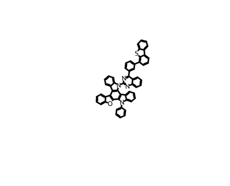 c1ccc(-n2c3ccccc3c3c2c2oc4ccccc4c2c2c4ccccc4n(-c4nc(-c5cccc(-c6cccc7c6sc6ccccc67)c5)c5ccccc5n4)c23)cc1